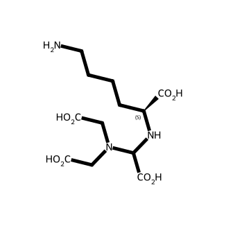 NCCCC[C@H](NC(C(=O)O)N(CC(=O)O)CC(=O)O)C(=O)O